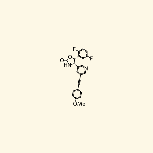 COc1ccc(C#Cc2cncc([C@H]3NC(=O)O[C@@H]3c3cc(F)ccc3F)c2)cc1